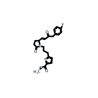 COC(=O)c1ccc(CCCN2C(=O)CCC2/C=C/C(=O)Cc2ccc(F)cc2)s1